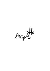 O=C1CCC(N2Cc3cc(N4CCN(Cc5ccccc5C5CC5)CC4)c(F)cc3C2=O)C(=O)N1